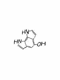 Oc1cc2cc[nH]c2c2[nH]ccc12